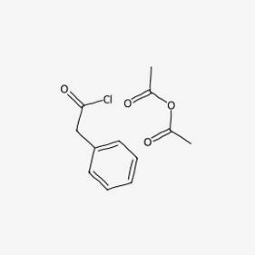 CC(=O)OC(C)=O.O=C(Cl)Cc1ccccc1